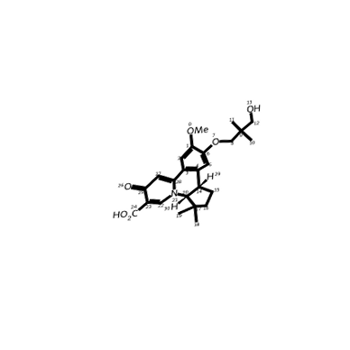 COc1cc2c(cc1OCC(C)(C)CO)[C@@H]1CCC(C)(C)[C@@H]1n1cc(C(=O)O)c(=O)cc1-2